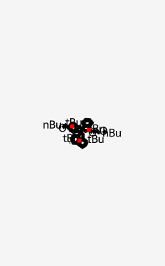 CCCCOCCOCCC(CCOCCOCCCC)(c1c(C(C)(C)C)cccc1C(C)(C)C)C(Cc1c(C(C)(C)C)cccc1C(C)(C)C)(c1cc[c]cc1)c1cc[c]cc1